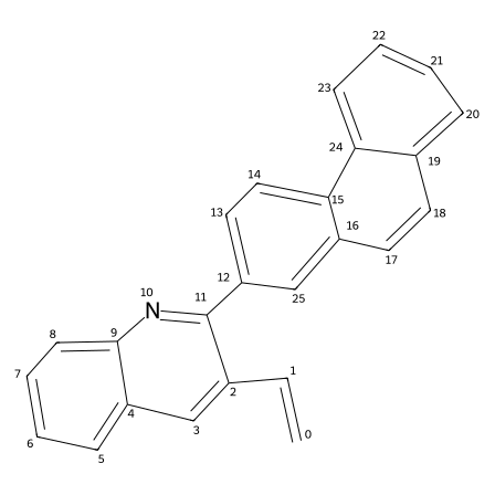 C=Cc1cc2ccccc2nc1-c1ccc2c(ccc3ccccc32)c1